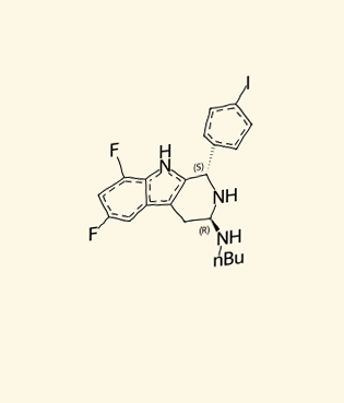 CCCCN[C@H]1Cc2c([nH]c3c(F)cc(F)cc23)[C@H](c2ccc(I)cc2)N1